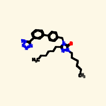 CCCCCCc1nn(CCCCCC)c(=O)n1Cc1ccc(-c2cccc(-c3nnn[nH]3)c2)cc1